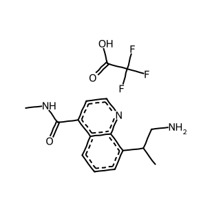 CNC(=O)c1ccnc2c(C(C)CN)cccc12.O=C(O)C(F)(F)F